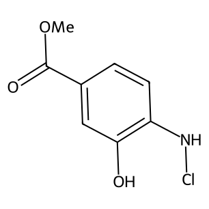 COC(=O)c1ccc(NCl)c(O)c1